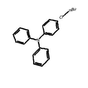 CCCCCl.c1ccc(N(c2ccccc2)c2ccccc2)cc1